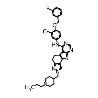 CCCN1CCC(Cn2cc3c(n2)CCc2c-3sc3ncnc(Nc4ccc(OCc5cccc(F)c5)c(Cl)c4)c23)CC1